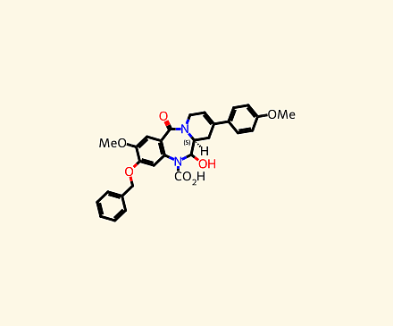 COc1ccc(C2=CCN3C(=O)c4cc(OC)c(OCc5ccccc5)cc4N(C(=O)O)C(O)[C@@H]3C2)cc1